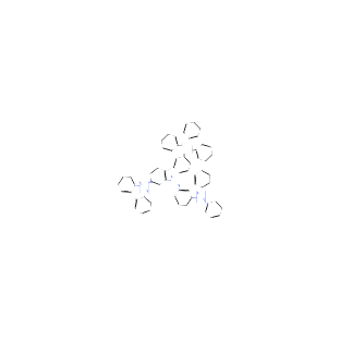 c1ccc(-n2c3ccccc3c3c(-n4c5ccc([Si](c6ccccc6)(c6ccccc6)c6ccccc6)cc5c5ccc(-n6c7ccccc7c7ccccc76)cc54)cccc32)cc1